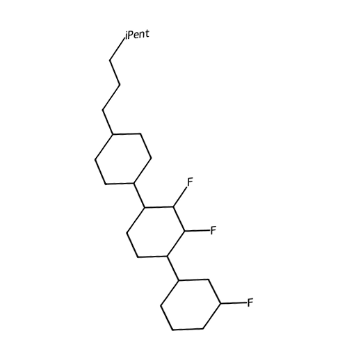 CCCC(C)CCCC1CCC(C2CCC(C3CCCC(F)C3)C(F)C2F)CC1